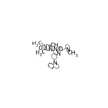 C=CC(=O)N1C[C@H](C)N(c2nc(OCC3CCCN3C)nc3c2CCC(N2CCCc4ccccc42)C3)C[C@@H]1C